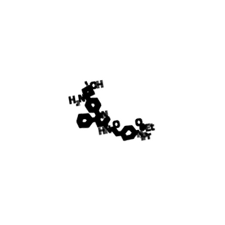 CCC(=O)N(C(C)C)C1CCC(CC(=O)Nc2cnc(-c3ccc([C@]4(N)C[C@](C)(O)C4)cc3)c(-c3ccccc3)c2)CC1